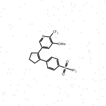 COc1cc(C2=C(c3ccc(S(N)(=O)=O)cc3)CCC2)cnc1C(F)(F)F